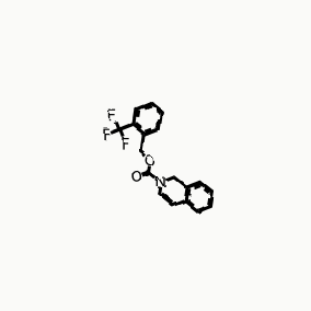 O=C(OCc1ccccc1C(F)(F)F)N1C=Cc2ccccc2C1